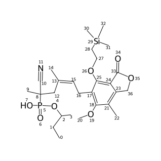 CCC(C)OP(=O)(O)C(C)(C#N)CC(C)=CCc1c(OC)c(C)c2c(c1OCC[Si](C)(C)C)C(=O)OC2